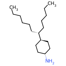 CCCCCC[C@H](CCCCC)[C@H]1CC[C@H](N)CC1